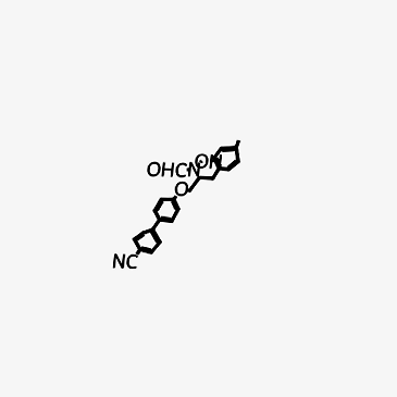 Cc1ccc(CC(COc2ccc(-c3ccc(C#N)cc3)cc2)N(O)C=O)cc1